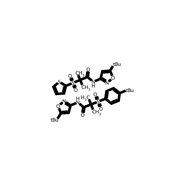 CC(C)(C)c1cc(NC(=O)C(C)(C)S(=O)(=O)c2cccs2)no1.CC(C)(C)c1ccc(S(=O)(=O)C(C)(C)C(=O)Nc2cc(C(C)(C)C)on2)cc1